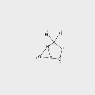 CCC1(CC)CO[C]2ON21